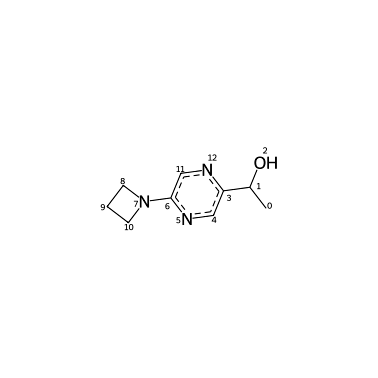 CC(O)c1cnc(N2CCC2)cn1